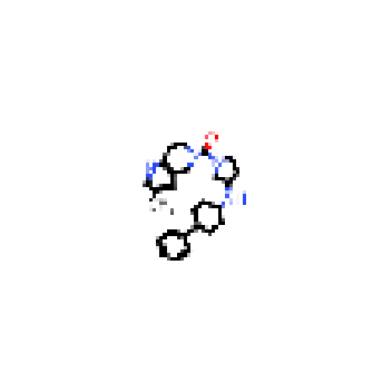 O=C(N1CCc2ncc(C(F)(F)F)cc2C1)N1CCC(NC2CCC(c3ccccc3)CC2)C1